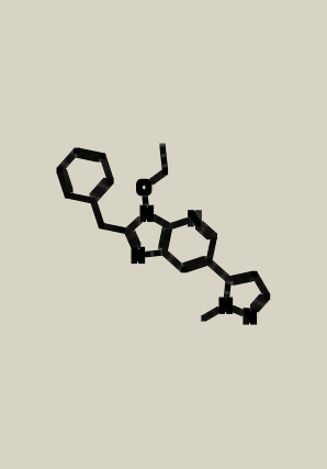 CCOn1c(Cc2ccccc2)nc2cc(-c3ccnn3C)cnc21